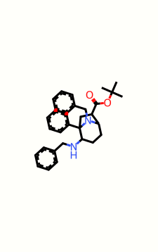 CC(C)(C)OC(=O)C1CC2(c3ccccc3)C(NCc3ccccc3)CCC1N2Cc1ccccc1